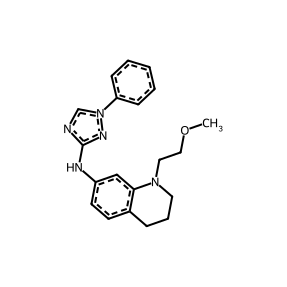 COCCN1CCCc2ccc(Nc3ncn(-c4ccccc4)n3)cc21